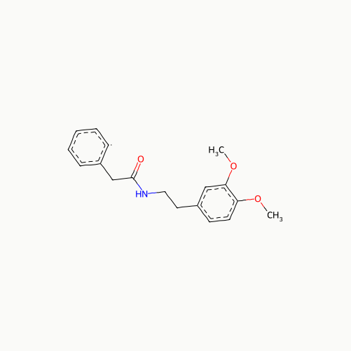 COc1ccc(CCNC(=O)Cc2[c]cccc2)cc1OC